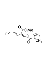 C=C(C)C(=O)OC=C(C=CCCC)C(=O)OC